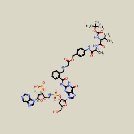 CC(C)[C@H](NC(=O)OC(C)(C)C)C(=O)N[C@@H](C)C(=O)Nc1ccc(COC(=O)CNCc2ccccc2C(=O)Nc2nc3c(ncn3[C@@H]3O[C@H](CO)C[C@H]3OS(=O)(=O)NC[C@H]3O[C@@H](n4cnc5cncnc54)[C@H](F)[C@@H]3O[PH](=O)O)c(=O)[nH]2)cc1